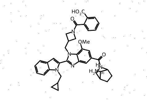 COc1cc(C(=O)N2CC3CCC2[C@@H]3N)cc2nc(-c3cc4ccccc4n3CC3CC3)n(CC3CN(C(=O)c4ccccc4C(=O)O)C3)c12